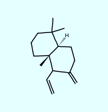 C=CC1C(=C)CC[C@@H]2C(C)(C)CCC[C@@]12C